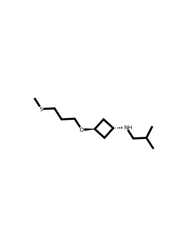 CSCCCO[C@H]1C[C@H](NCC(C)C)C1